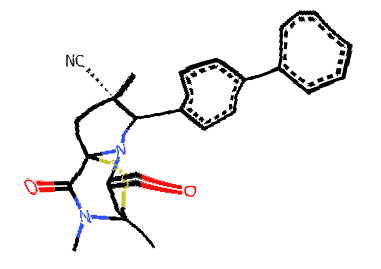 CN1C(=O)C23C[C@](C)(C#N)C(c4ccc(-c5ccccc5)cc4)N2C(=O)C1(C)SS3